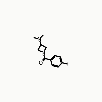 CN(C)C1CN(C(=O)c2ccc(I)cc2)C1